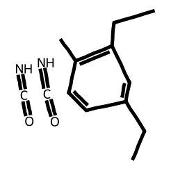 CCc1ccc(C)c(CC)c1.N=C=O.N=C=O